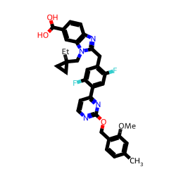 CCC1(Cn2c(Cc3cc(F)c(-c4ccnc(OCc5ccc(C)cc5OC)n4)cc3F)nc3ccc(C(O)O)cc32)CC1